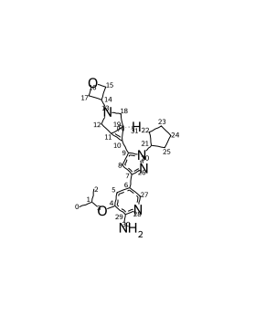 CC(C)Oc1cc(-c2cc(C3=C4CN(C5COC5)C[C@H]43)n(C3CCCC3)n2)cnc1N